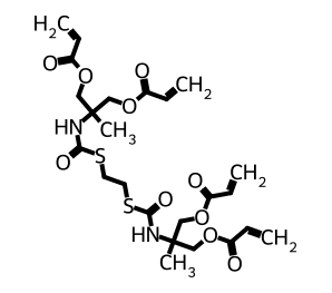 C=CC(=O)OCC(C)(COC(=O)C=C)NC(=O)SCCSC(=O)NC(C)(COC(=O)C=C)COC(=O)C=C